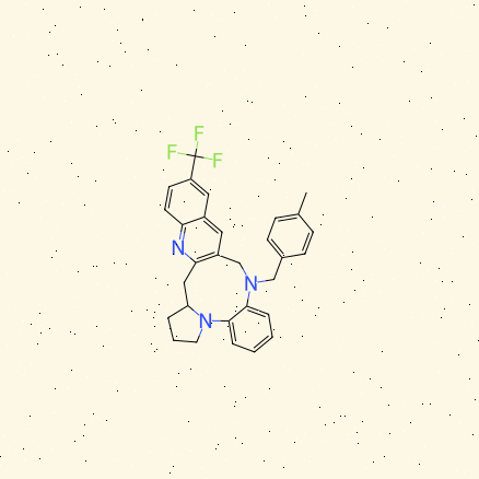 Cc1ccc(CN2Cc3cc4cc(C(F)(F)F)ccc4nc3CC3CCCN3c3ccccc32)cc1